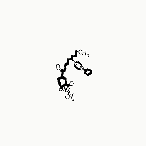 CCCCC(CCCCC(=O)c1ccc(O)c(C(=O)OCC)c1)N1CCN(c2ccccc2)CC1